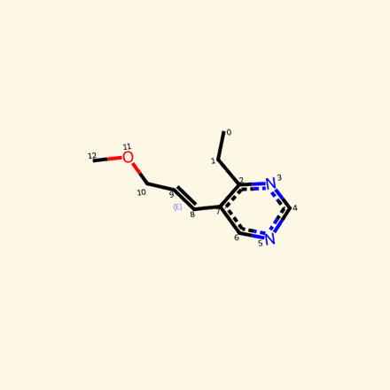 CCc1ncncc1/C=C/COC